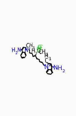 C=C.Cc1cc(N)c2ccccc2[n+]1CCCCCCCCCC[n+]1c(C)cc(N)c2ccccc21.[Cl-].[Cl-]